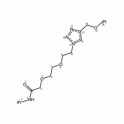 CC(C)NC(=O)COCCOCCn1cc(COC(C)C)nn1